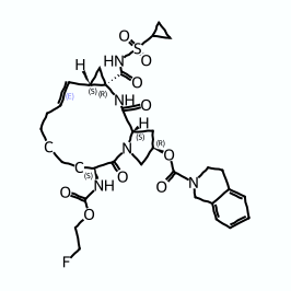 O=C(N[C@H]1CCCCC/C=C/[C@@H]2C[C@@]2(C(=O)NS(=O)(=O)C2CC2)NC(=O)[C@@H]2C[C@@H](OC(=O)N3CCc4ccccc4C3)CN2C1=O)OCCF